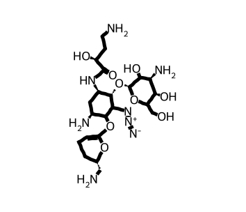 [N-]=[N+]=NC1C(OC2=CCC[C@@H](CN)O2)[C@@H](N)C[C@@H](NC(=O)[C@@H](O)CCN)[C@@H]1O[C@H]1OC(CO)[C@H](O)[C@H](N)C1O